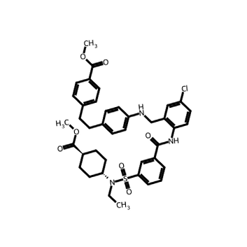 CCN([C@H]1CC[C@H](C(=O)OC)CC1)S(=O)(=O)c1cccc(C(=O)Nc2ccc(Cl)cc2CNc2ccc(CCc3ccc(C(=O)OC)cc3)cc2)c1